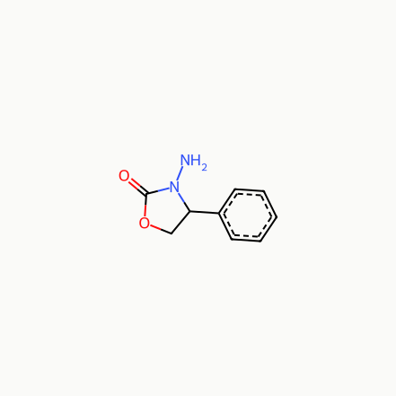 NN1C(=O)OCC1c1ccccc1